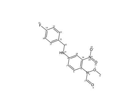 CON(C=O)c1ccc(NCc2ccc(F)cc2)cc1[N+](=O)[O-]